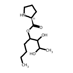 CCCCC(OC(=O)[C@@H]1CCCN1)C(O)C(C)O